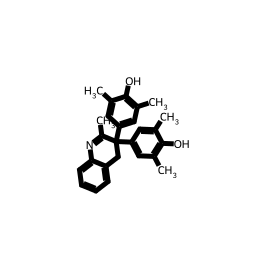 CC1=Nc2ccccc2CC1(c1cc(C)c(O)c(C)c1)c1cc(C)c(O)c(C)c1